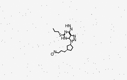 CCCSC1=NC(N=N)=C2N=NN([C@H]3CC[C@@H](CCCN=O)C3)C2N1